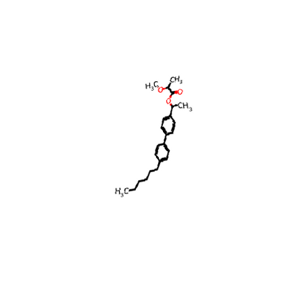 CCCCCCc1ccc(-c2ccc(C(C)OC(=O)C(C)OC)cc2)cc1